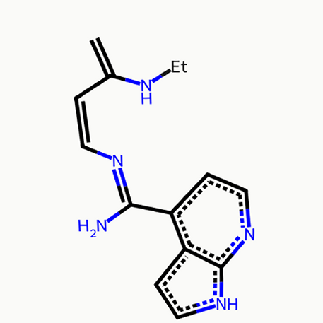 C=C(/C=C\N=C(/N)c1ccnc2[nH]ccc12)NCC